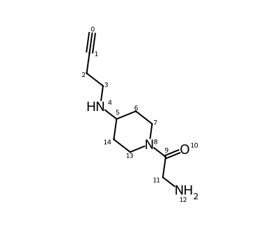 C#CCCNC1CCN(C(=O)CN)CC1